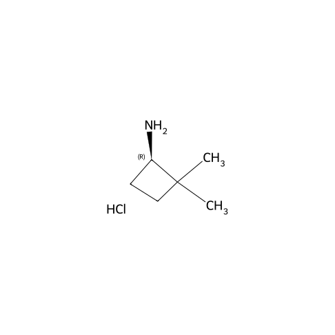 CC1(C)CC[C@H]1N.Cl